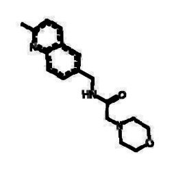 Cc1ccc2cc(CNC(=O)CN3CCOCC3)ccc2n1